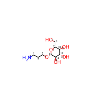 NCCCO[C@@H]1O[C@H](CO)[C@@H](O)[C@H](O)[C@H]1O